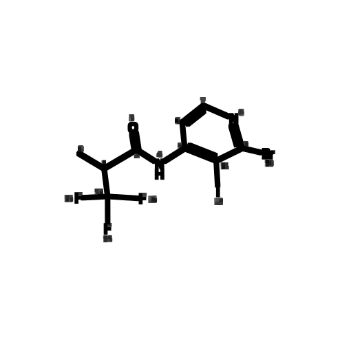 CC(C(=O)Nc1ccnc(Br)c1I)C(F)(F)F